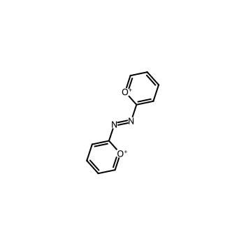 c1ccc(N=Nc2cccc[o+]2)[o+]c1